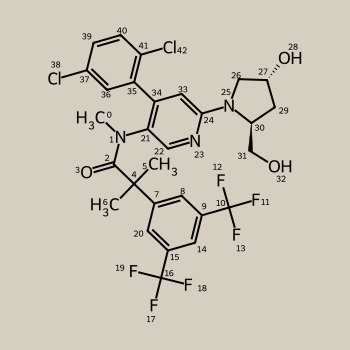 CN(C(=O)C(C)(C)c1cc(C(F)(F)F)cc(C(F)(F)F)c1)c1cnc(N2C[C@H](O)C[C@H]2CO)cc1-c1cc(Cl)ccc1Cl